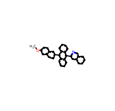 COc1ccc2cc(-c3c4ccccc4c(-c4cc5ccccc5cn4)c4ccccc34)ccc2c1